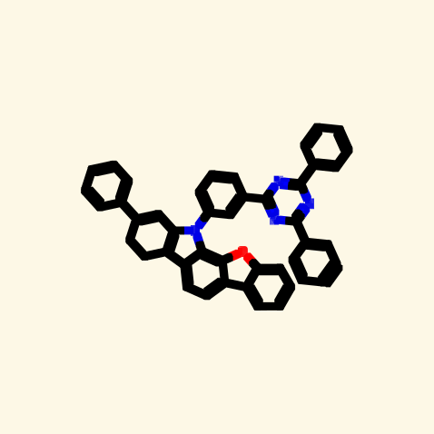 c1ccc(-c2nc(-c3ccccc3)nc(-c3cccc(-n4c5c(c6ccc7c8ccccc8oc7c64)CCC(c4ccccc4)=C5)c3)n2)cc#1